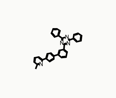 Cc1cccc(-c2ccc(-c3cccc(-c4nc(-c5ccccc5)nc(-c5ccccc5)n4)c3)cc2)n1